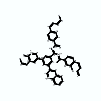 C=C/C=C\c1ccc(/C(C)=N/C(=N\C(=C)c2ccc(/C=C\C=C/C)cc2)c2cc(-c3cnc(C)c(/C=C\C)c3)cc(-c3cnc4ccccc4c3)c2)cc1C